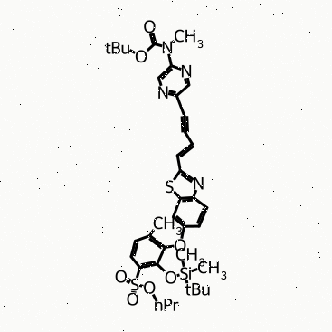 CCCOS(=O)(=O)c1ccc(C)c(Oc2ccc3nc(C=CC#Cc4cnc(N(C)C(=O)OC(C)(C)C)cn4)sc3c2)c1O[Si](C)(C)C(C)(C)C